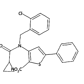 O=C(O)c1sc(-c2ccccc2)cc1N(Cc1ccccc1Cl)C(=O)C1CC1